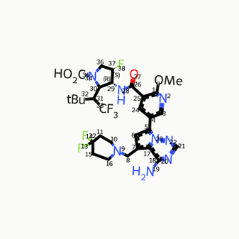 COc1ncc(-c2cc(CN3CCC(F)(F)CC3)c3c(N)ncnn23)cc1C(=O)N[C@@H]1C(C(C(C)(C)C)C(F)(F)F)N(C(=O)O)C[C@@H]1F